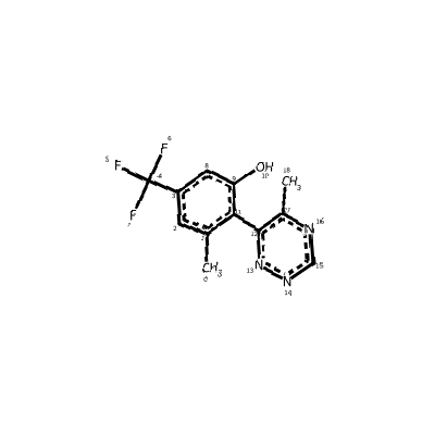 Cc1cc(C(F)(F)F)cc(O)c1-c1nncnc1C